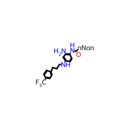 CCCCCCCCCC(=O)Nc1ccc(NCCCc2ccc(C(F)(F)F)cc2)cc1N